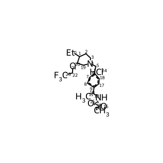 CCC1CCN(Cc2ccc([C@@H](C)NS(C)(=O)=O)cc2)C[C@@H]1OCC(F)(F)F.Cl